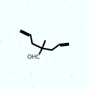 C=CCC(C)(C=O)CC=C